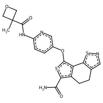 CC1(C(=O)Nc2ccc(Oc3sc(C(N)=O)c4c3-c3sncc3CC4)cn2)COC1